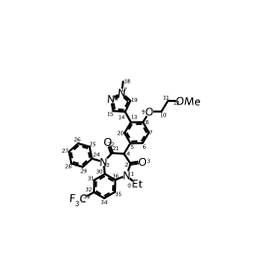 CCN1C(=O)C(c2ccc(OCCOC)c(-c3cnn(C)c3)c2)C(=O)N(c2ccccc2)c2cc(C(F)(F)F)ccc21